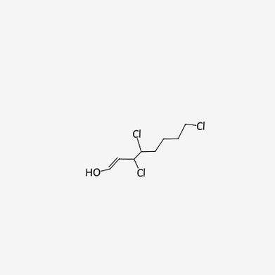 OC=CC(Cl)C(Cl)CCCCCl